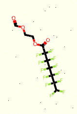 O=COCCOC(=O)C(F)(F)C(F)(F)C(F)(F)C(F)(F)C(F)(F)C(F)F